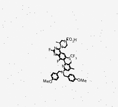 COc1ccc(CN(Cc2ccc(OC)cc2)c2cc(C)c(I)c(-c3c(SC(F)(F)F)cc4c(N5CCN(C(=O)O)C[C@@H]5C)nc(F)nc4c3F)n2)cc1